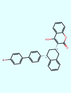 O=c1oc2ccccc2c(O)c1[C@@H]1Cc2ccccc2[C@H](c2ccc(-c3ccc(Br)cc3)cc2)C1